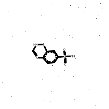 NS(=O)(=O)c1ccc2c(c1)SNC=N2